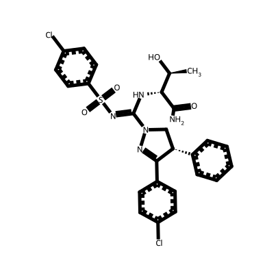 C[C@H](O)[C@@H](N/C(=N\S(=O)(=O)c1ccc(Cl)cc1)N1C[C@H](c2ccccc2)C(c2ccc(Cl)cc2)=N1)C(N)=O